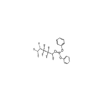 FC(F)C(F)C(F)(F)C(F)(F)C(F)OP(Oc1ccccc1)Oc1ccccc1